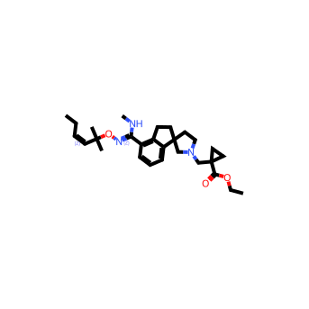 CC/C=C\C(C)(C)O/N=C(\NC)c1cccc2c1CCC21CCN(CC2(C(=O)OCC)CC2)C1